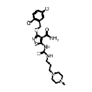 CN1CCN(CCCNC(=O)Nc2snc(OCc3cc(Cl)ccc3Cl)c2C(N)=O)CC1